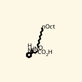 CCCCCCCCC=CCCCCCCCC(=O)N[C@@H](Cc1c[nH]c2ccccc12)C(=O)O